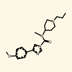 CCCN1CCC(N(C)C(=O)n2cnc(-c3ccc(OC)cc3)c2)CC1